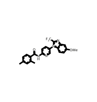 COc1ccc2c(c1)nc(C(F)(F)F)n2-c1ccc(NC(=O)c2ccc(C)cc2C)nc1